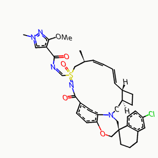 COc1nn(C)cc1C(=O)/N=C\S1(=O)=NC(=O)c2ccc3c(c2)N(C[C@@H]2CC[C@H]2/C=C/C=C\[C@H](C)C1)C[C@@]1(CCCc2cc(Cl)ccc21)CO3